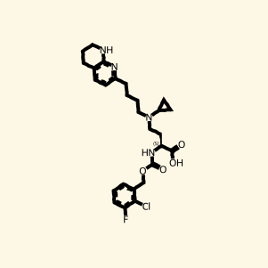 O=C(N[C@@H](CCN(CCCCc1ccc2c(n1)NCCC2)C1CC1)C(=O)O)OCc1cccc(F)c1Cl